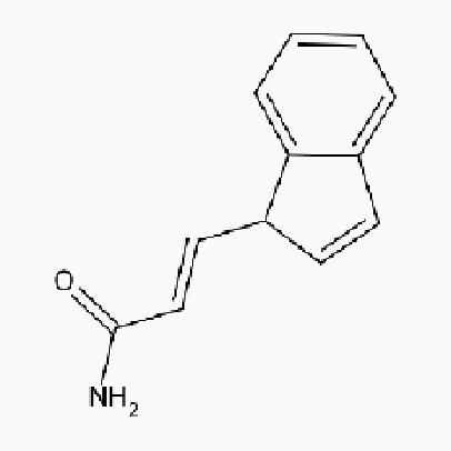 NC(=O)C=CC1C=Cc2ccccc21